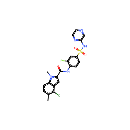 Cc1ccc2c(cc(C(=O)Nc3ccc(S(=O)(=O)Nc4cnccn4)cc3F)n2C)c1Cl